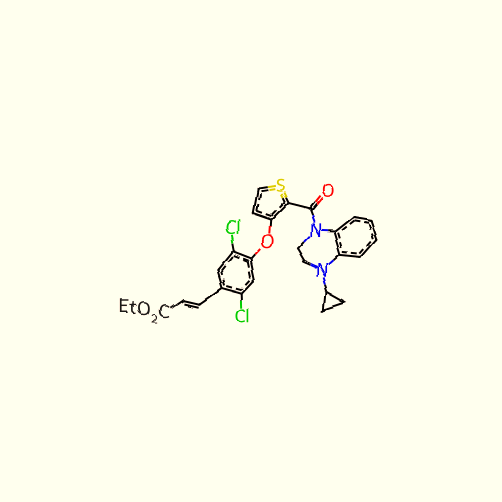 CCOC(=O)/C=C/c1cc(Cl)c(Oc2ccsc2C(=O)N2CCN(C3CC3)c3ccccc32)cc1Cl